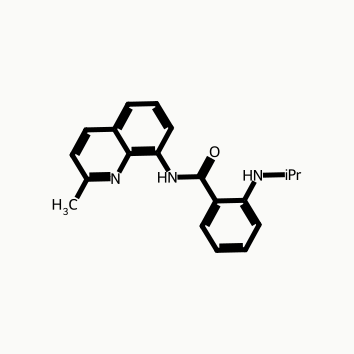 Cc1ccc2cccc(NC(=O)c3ccccc3NC(C)C)c2n1